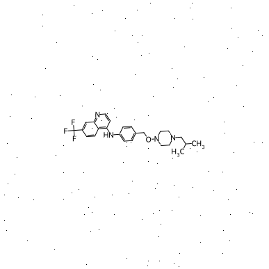 CC(C)CN1CCN(OCc2ccc(Nc3ccnc4cc(C(F)(F)F)ccc34)cc2)CC1